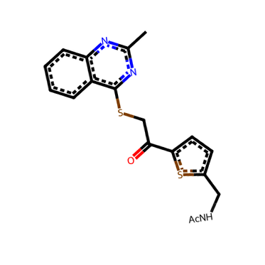 CC(=O)NCc1ccc(C(=O)CSc2nc(C)nc3ccccc23)s1